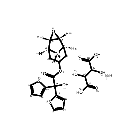 Br.C[N+]1(C)[C@@H]2CC(OC(=O)C(O)(c3cccs3)c3cccs3)C[C@H]1[C@@H]1O[C@@H]12.O=C(O)C(O)C(O)C(=O)O